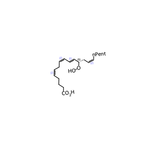 CCCCC/C=C\C[C@@H](/C=C/C=C\C/C=C\CCCC(=O)O)OO